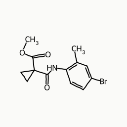 COC(=O)C1(C(=O)Nc2ccc(Br)cc2C)CC1